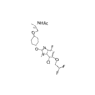 CC(=O)N[C@@H](C)CO[C@H]1CC[C@H](OC2=NC3=C(F)C=C(OCC(F)F)C(Cl)C3N2C)CC1